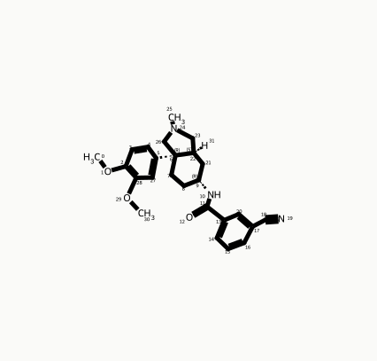 COc1ccc([C@@]23CC[C@@H](NC(=O)c4cccc(C#N)c4)C[C@@H]2CN(C)C3)cc1OC